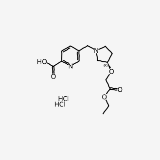 CCOC(=O)CO[C@@H]1CCN(Cc2ccc(C(=O)O)nc2)C1.Cl.Cl